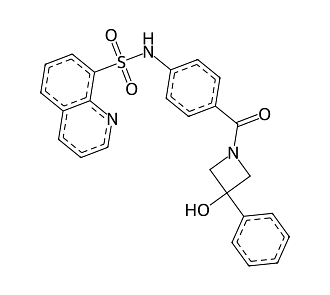 O=C(c1ccc(NS(=O)(=O)c2cccc3cccnc23)cc1)N1CC(O)(c2ccccc2)C1